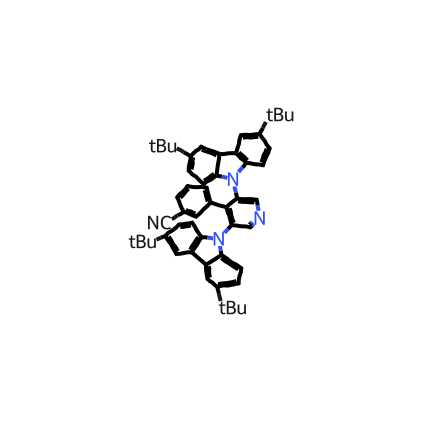 CC(C)(C)c1ccc2c(c1)c1cc(C(C)(C)C)ccc1n2-c1cncc(-n2c3ccc(C(C)(C)C)cc3c3cc(C(C)(C)C)ccc32)c1-c1cccc(C#N)c1